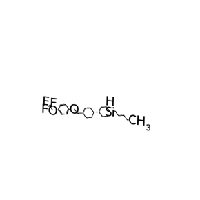 CCCCC[SiH]1CCC([C@H]2CC[C@H](COc3ccc(OC(F)(F)F)cc3)CC2)CC1